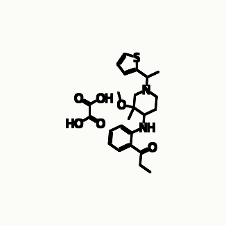 CCC(=O)c1ccccc1NC1CCN(C(C)c2cccs2)CC1(C)OC.O=C(O)C(=O)O